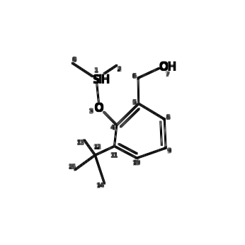 C[SiH](C)Oc1c(CO)cccc1C(C)(C)C